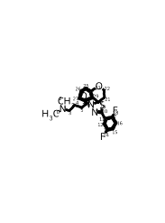 CN(C)CCCC(=O)N1N=C(c2cc(F)ccc2F)SC12CCOc1ccccc12